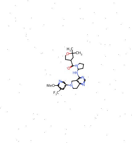 COc1ncc(N2CCc3ncnc(NC4CCCN4C(=O)C4CCOC(C)(C)C4)c3C2)cc1C(F)(F)F